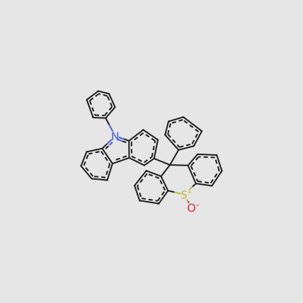 [O-][S+]1c2ccccc2C(c2ccccc2)(c2ccc3c(c2)c2ccccc2n3-c2ccccc2)c2ccccc21